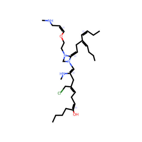 CC/C=C\C(=CCCC)C/C=C1/N(/C=C(/CC(=CC/C=C(/O)CCCC)CCl)NC)CN1CCO/C=C\CNC